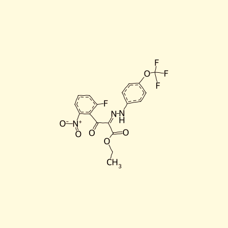 CCOC(=O)/C(=N\Nc1ccc(OC(F)(F)F)cc1)C(=O)c1c(F)cccc1[N+](=O)[O-]